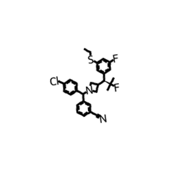 CCSc1cc(F)cc([C@H](C2CN(C(c3ccc(Cl)cc3)c3cccc(C#N)c3)C2)C(C)(C)F)c1